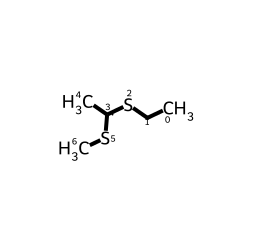 CCS[C](C)SC